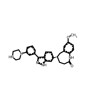 COc1ccc2c(c1)C[C@H](c1ccc3c(-c4cccc(N5CCNCC5)c4)n[nH]c3c1)CCC(=O)N2